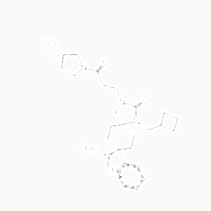 CN(C)[C@]1(c2ccccc2)CC[C@]2(CC1)CN(CCC(=O)N1CC[C@H](O)C1)C(=O)N2CC1CCC1